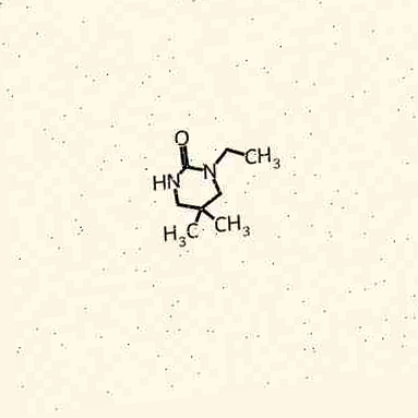 CCN1CC(C)(C)CNC1=O